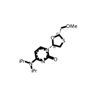 COC[C@H]1O[C@@H](n2ccc(N(C(C)C)C(C)C)nc2=O)CS1